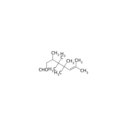 CC(C)=CC(C)(C)C(C)(C)C(C)CC=O